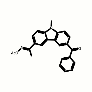 CC(=O)O/N=C(\C)c1ccc2c(c1)c1cc(C(=O)c3ccccc3)ccc1n2C